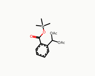 CC(=O)OC(OC(C)=O)c1ccccc1C(=O)O[Si](C)(C)C